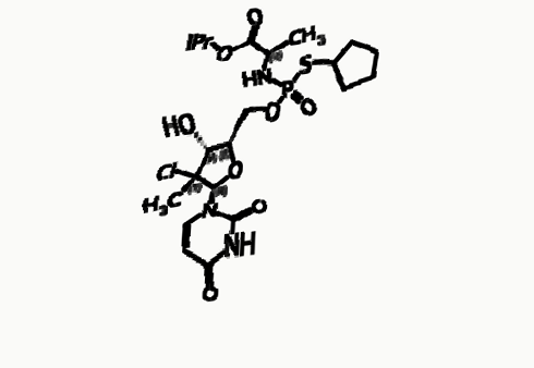 CC(C)OC(=O)[C@@H](C)NP(=O)(OC[C@H]1O[C@@H](n2ccc(=O)[nH]c2=O)[C@](C)(Cl)[C@@H]1O)SC1CCCC1